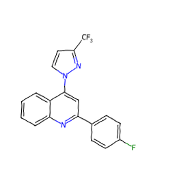 Fc1ccc(-c2cc(-n3ccc(C(F)(F)F)n3)c3ccccc3n2)cc1